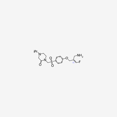 CC(C)N1CCN(CS(=O)(=O)c2ccc(OC/C(=C/F)CN)cc2)C(=O)C1